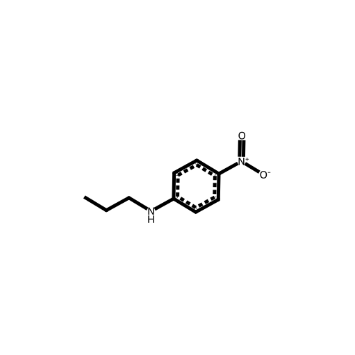 CCCNc1ccc([N+](=O)[O-])cc1